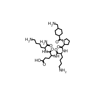 NCCCCC(NC(=O)C(CCC(=O)O)NC(=O)C(CCCCN)NC(=O)C1CCCN1C(=O)C1CCC(CN)CC1)C(N)=O